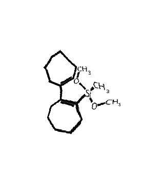 CO[Si](C)(OC)C1=C(C2=CCCCCC2)CCCCC1